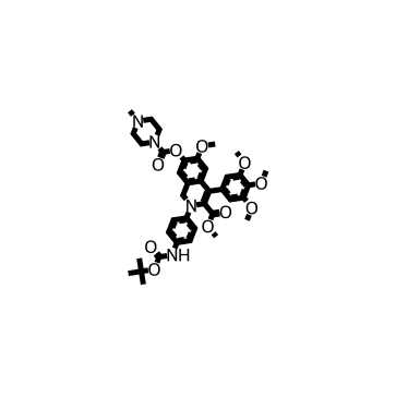 COC(=O)C1=C(c2cc(OC)c(OC)c(OC)c2)c2cc(OC)c(OC(=O)N3CCN(C)CC3)cc2CN1c1ccc(NC(=O)OC(C)(C)C)cc1